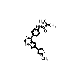 CC(C)[S+]([O-])Nc1ccc(-c2ncnn3cc(-c4cnn(C)c4)cc23)cc1